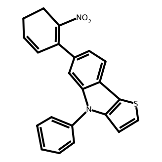 O=[N+]([O-])C1=C(c2ccc3c4sccc4n(-c4ccccc4)c3c2)C=CCC1